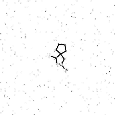 CN(C)C1(COC(C)(C)C)CCCC1